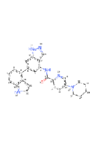 O=C(Nc1cc(-c2cccc3[nH]ccc23)cc2[nH]ncc12)c1ccc(N2CCCCC2)cn1